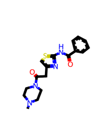 CN1CCN(C(=O)Cc2csc(NC(=O)c3ccccc3)n2)CC1